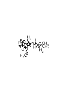 COCCn1c(=O)n(C2(C(F)(F)F)CC2)c(=O)c2c(C)c(CNNC(=O)OC(C)(C)C)sc21